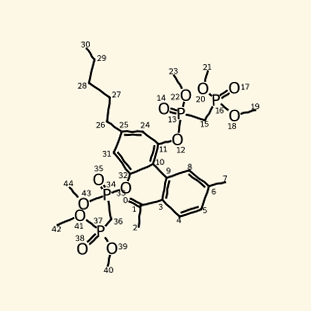 C=C(C)c1ccc(C)cc1-c1c(OP(=O)(CP(=O)(OC)OC)OC)cc(CCCCC)cc1OP(=O)(CP(=O)(OC)OC)OC